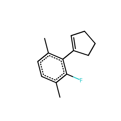 Cc1ccc(C)c(C2=CCCC2)c1F